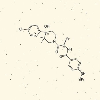 CCCNc1ccc(C(=O)N[C@@H](C(=O)N2CC[C@](O)(c3ccc(Cl)cc3)C(C)(C)C2)C(C)C)cn1